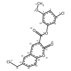 COc1cc(Cl)cc(OC(=O)c2cc3cc(CCl)ccc3oc2=O)c1